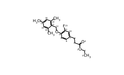 CCOC(=O)CCc1ccc(OCc2c(C)cc(C)cc2C)c(F)c1